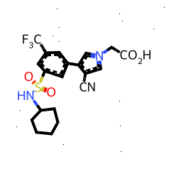 N#Cc1cn(CC(=O)O)cc1-c1cc(C(F)(F)F)cc(S(=O)(=O)NC2CCCCC2)c1